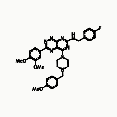 COc1ccc(CN2CCN(c3nc(NCc4ccc(F)cc4)nc4nnc(-c5ccc(OC)c(OC)c5)nc34)CC2)cc1